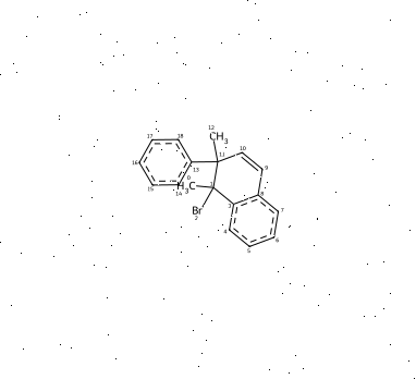 CC1(Br)c2ccccc2C=CC1(C)c1ccccc1